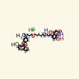 CN(CCCOCCCCCCNC[C@H](O)c1ccc(O)c2[nH]c(=O)ccc12)[C@H]1CC[C@H](OC(C(=O)O)(c2cccs2)c2cccs2)CC1.F